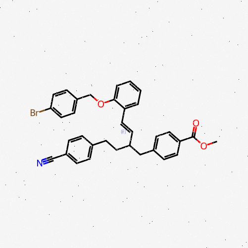 COC(=O)c1ccc(CC(/C=C/c2ccccc2OCc2ccc(Br)cc2)CCc2ccc(C#N)cc2)cc1